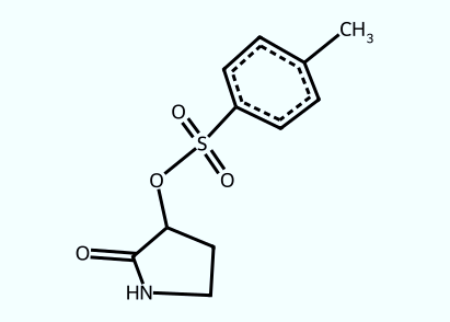 Cc1ccc(S(=O)(=O)OC2CCNC2=O)cc1